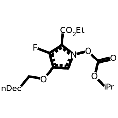 CCCCCCCCCCCOc1cn(OC(=O)OC(C)C)c(C(=O)OCC)c1F